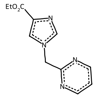 CCOC(=O)c1cn(Cc2ncccn2)cn1